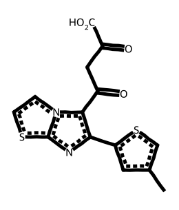 Cc1csc(-c2nc3sccn3c2C(=O)CC(=O)C(=O)O)c1